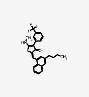 CCCCc1cc(/C=C2/SC(NC)=C(c3cccc(C(F)(F)F)c3)C2=O)c2ccccc2c1